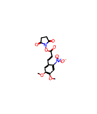 COc1cc(/C=C/C(=O)ON2C(=O)CCC2=O)c([N+](=O)[O-])cc1OC